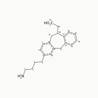 NCCCCc1ccc2c(c1)Cc1ccccc1C(CC(=O)O)C2